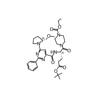 CCOC(=O)N1CCN(C(=O)[C@H](CCC(=O)OC(C)(C)C)NC(=O)c2cc(N3CCC[C@@H]3COC)nc(-c3ccccc3)n2)CC1